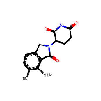 CC(=O)Nc1c(C#N)ccc2c1C(=O)N(C1CCC(=O)NC1=O)C2